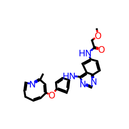 COCC(=O)Nc1ccc2ncnc(Nc3ccc(OC4=C/C(C)=N/C=C\C/C=C\4)cc3)c2c1